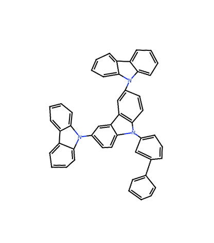 c1ccc(-c2cccc(-n3c4ccc(-n5c6ccccc6c6ccccc65)cc4c4cc(-n5c6ccccc6c6ccccc65)ccc43)c2)cc1